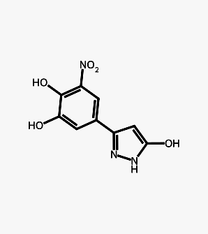 O=[N+]([O-])c1cc(-c2cc(O)[nH]n2)cc(O)c1O